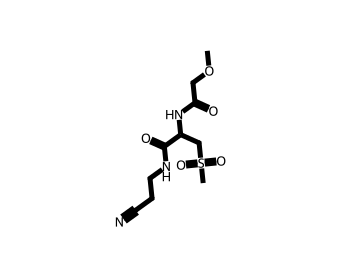 COCC(=O)NC(CS(C)(=O)=O)C(=O)NCCC#N